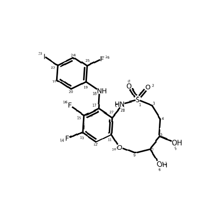 O=S1(=O)CCC(O)C(O)COc2cc(F)c(F)c(Nc3ccc(I)cc3F)c2N1